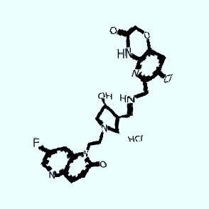 Cl.O=C1COc2cc(Cl)c(CNC[C@H]3CN(CCn4c(=O)ccc5ncc(F)cc54)C[C@H]3O)nc2N1